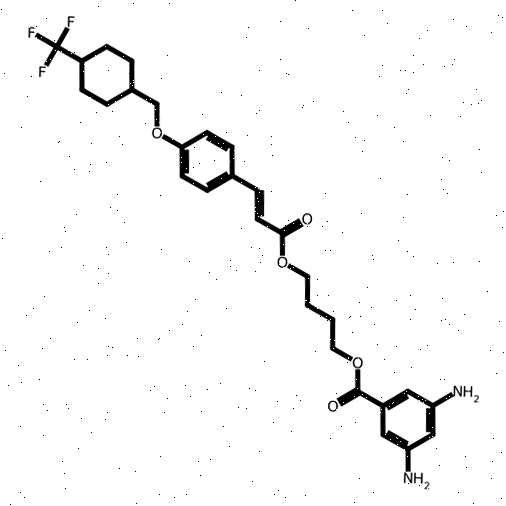 Nc1cc(N)cc(C(=O)OCCCCOC(=O)C=Cc2ccc(OCC3CCC(C(F)(F)F)CC3)cc2)c1